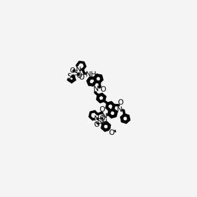 COc1ccc(S(=O)(=O)N2CCCCC2C(=O)Nc2ccc3c4c(cc(-c5ccc(CN6C(=O)c7cccc8c(NC(=O)C9CCCCN9S(=O)(=O)c9cccs9)ccc6c78)cc5)cc24)C(=O)N3Cc2ccccc2)cc1